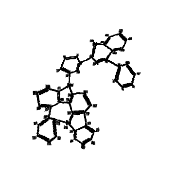 c1ccc(-c2nc(-c3cccc(-n4c5cccc6c7ccccc7n7c8ccccc8c8ccc4c(c65)c87)c3)nc3ccccc23)cc1